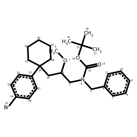 COC(CN(Cc1ccccc1)C(=O)OC(C)(C)C)CC1(c2ccc(Br)cc2)CCCCC1